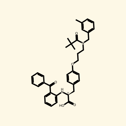 Cc1cccc(CN(CCCOc2ccc(C[C@H](Nc3ccccc3C(=O)c3ccccc3)C(=O)O)cc2)C(=O)C(C)(C)C)c1